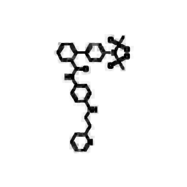 CS(=O)(=O)N(c1ccc(-c2ccccc2C(=O)Nc2ccc(NCCc3ccccn3)cc2)cc1)S(C)(=O)=O